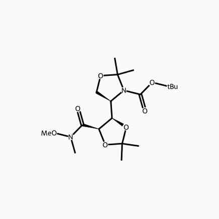 CON(C)C(=O)[C@@H]1OC(C)(C)O[C@@H]1[C@H]1COC(C)(C)N1C(=O)OC(C)(C)C